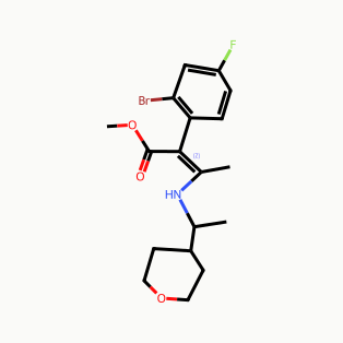 COC(=O)/C(=C(/C)NC(C)C1CCOCC1)c1ccc(F)cc1Br